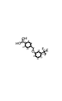 OB(O)c1ccc(COc2cccc(C(F)(F)F)c2)cc1